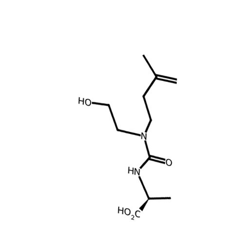 C=C(C)CCN(CCO)C(=O)N[C@@H](C)C(=O)O